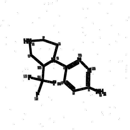 Nc1ccc(N2CCNCC2C(F)(F)F)nn1